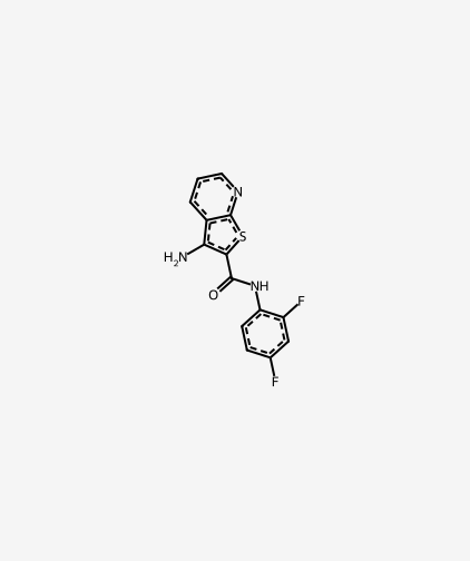 Nc1c(C(=O)Nc2ccc(F)cc2F)sc2ncccc12